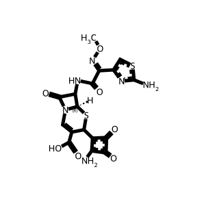 CON=C(C(=O)NC1C(=O)N2C=C(C(=O)O)C(c3c(N)c(=O)c3=O)S[C@H]12)c1csc(N)n1